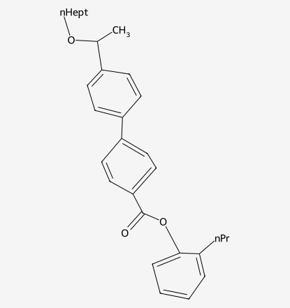 CCCCCCCOC(C)c1ccc(-c2ccc(C(=O)Oc3ccccc3CCC)cc2)cc1